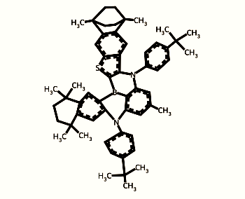 Cc1cc2c3c(c1)N(c1ccc(C(C)(C)C)cc1)c1c(sc4cc5c(cc14)C1(C)CCC5(C)CC1)B3c1cc3c(cc1N2c1ccc(C(C)(C)C)cc1)C(C)(C)CCC3(C)C